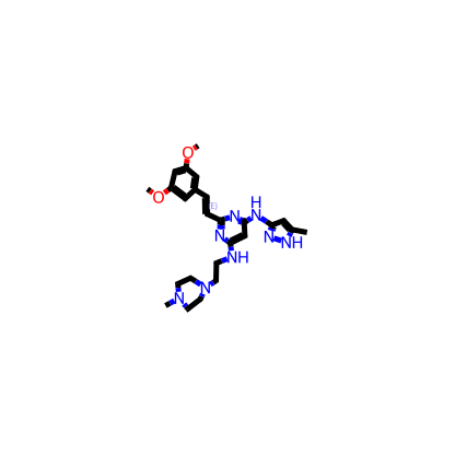 COc1cc(/C=C/c2nc(NCCN3CCN(C)CC3)cc(Nc3cc(C)[nH]n3)n2)cc(OC)c1